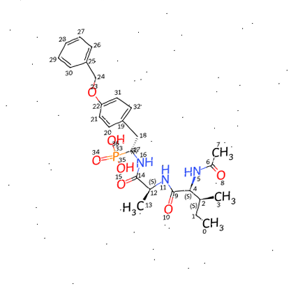 CC[C@H](C)[C@H](NC(C)=O)C(=O)N[C@@H](C)C(=O)N[C@@H](Cc1ccc(OCc2ccccc2)cc1)P(=O)(O)O